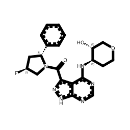 O=C(c1n[nH]c2ncnc(N[C@@H]3CCOC[C@H]3O)c12)N1C[C@@H](F)C[C@@H]1c1ccccc1